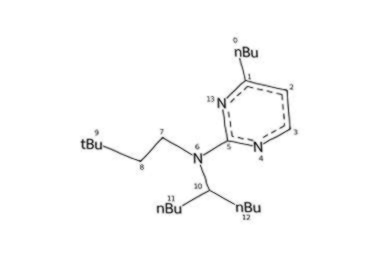 CCCCc1ccnc(N(CCC(C)(C)C)C(CCCC)CCCC)n1